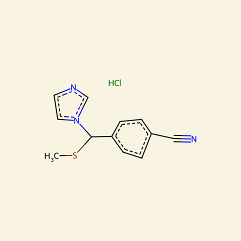 CSC(c1ccc(C#N)cc1)n1ccnc1.Cl